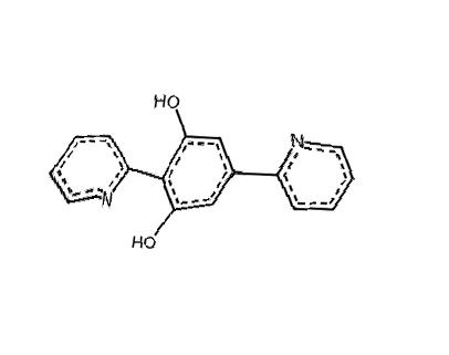 Oc1cc(-c2ccccn2)cc(O)c1-c1ccccn1